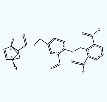 O=Cc1cc(COC(=O)C2C[C@@H]3C=C[C@H]2C3)ccc1OCc1c([N+](=O)[O-])cccc1[N+](=O)[O-]